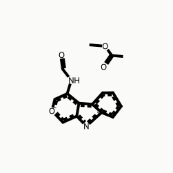 COC(C)=O.O=CNc1cocc2nc3ccccc3c1-2